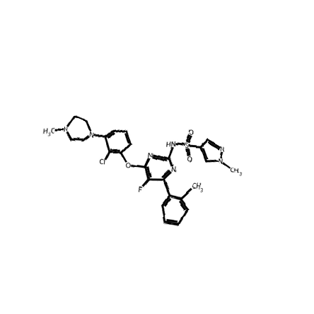 Cc1ccccc1-c1nc(NS(=O)(=O)c2cnn(C)c2)nc(Oc2cccc(N3CCN(C)CC3)c2Cl)c1F